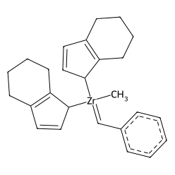 [CH3][Zr](=[CH]c1ccccc1)([CH]1C=CC2=C1CCCC2)[CH]1C=CC2=C1CCCC2